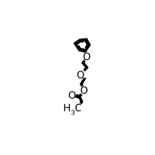 CCC(=O)OCCOCCOc1ccccc1